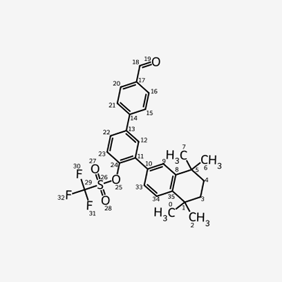 CC1(C)CCC(C)(C)c2cc(-c3cc(-c4ccc(C=O)cc4)ccc3OS(=O)(=O)C(F)(F)F)ccc21